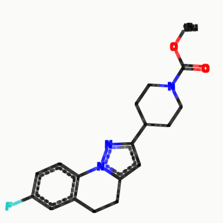 CC(C)(C)OC(=O)N1CCC(c2cc3n(n2)-c2ccc(F)cc2CC3)CC1